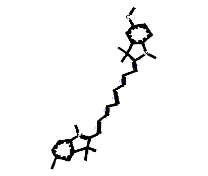 COc1ccc2c(c1)C(C)(C)\C(=C/C=C/C=C/C=C/C=C/C1=[N+](C)c3ccc(C)cc3C1(C)C)N2C